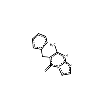 Cc1[nH]c2ncnn2c(=O)c1Cc1ccccc1